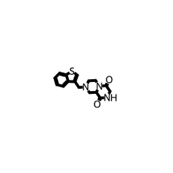 O=C1NCC(=O)N2CCN(Cc3csc4ccccc34)CC12